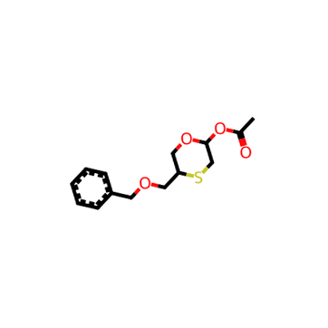 CC(=O)OC1CSC(COCc2ccccc2)CO1